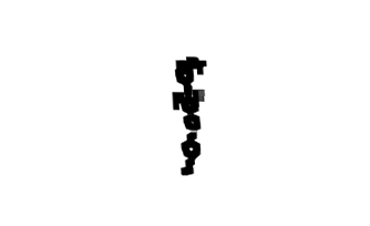 C=CCC[C@H]1CC[C@H](CC[C@H]2CC[C@H](c3cc(F)c(C#Cc4ccc(CCC)cc4)c(F)c3)CC2)CC1